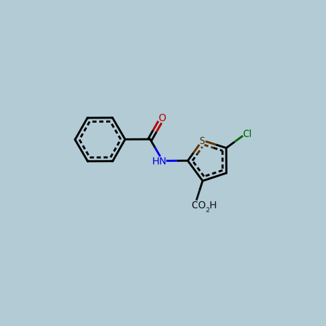 O=C(Nc1sc(Cl)cc1C(=O)O)c1ccccc1